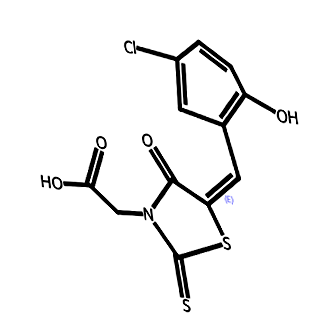 O=C(O)CN1C(=O)/C(=C\c2cc(Cl)ccc2O)SC1=S